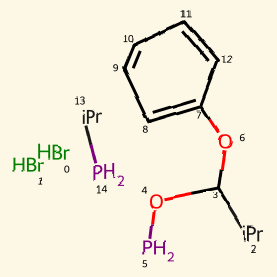 Br.Br.CC(C)C(OP)Oc1ccccc1.CC(C)P